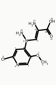 COc1cnc(Cl)cc1N(N)/C=C(\N)C(=O)O